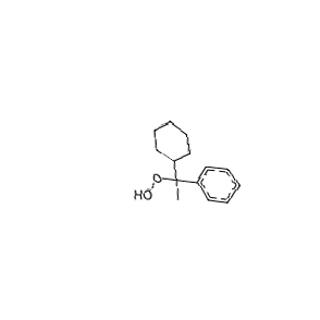 CC(OO)(c1ccccc1)C1CCCCC1